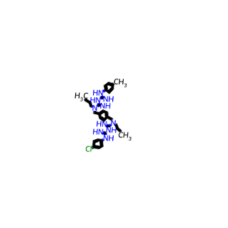 CCCCN(Cc1ccc(CN(CCCC)C(=N)NC(=N)Nc2ccc(Cl)cc2)cc1)C(=N)NC(=N)Nc1ccc(C)cc1